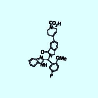 COc1ccc(F)cc1C(c1nc2ccccc2[nH]1)N1Cc2ccc(C3=CCN(C(=O)O)CC3)cc2C1=O